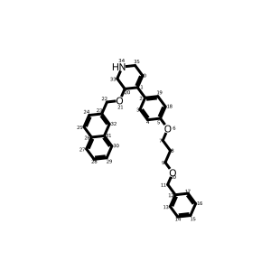 C1=C(c2ccc(OCCCOCc3ccccc3)cc2)C(OCc2ccc3ccccc3c2)CNC1